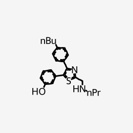 CCCCc1ccc(-c2nc(CNCCC)sc2-c2cccc(O)c2)cc1